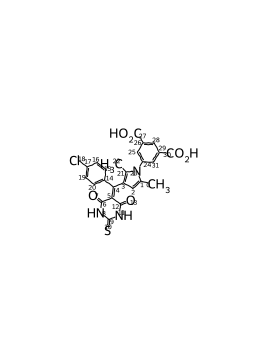 Cc1cc(C(=C2C(=O)NC(=S)NC2=O)c2ccc(Cl)cc2)c(C)n1-c1cc(C(=O)O)cc(C(=O)O)c1